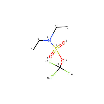 CCN(CC)S(=O)(=O)OC(F)(F)F